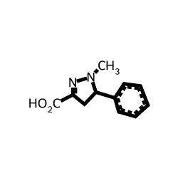 CN1N=C(C(=O)O)CC1c1ccccc1